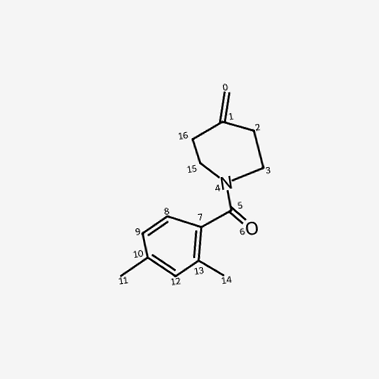 C=C1CCN(C(=O)c2ccc(C)cc2C)CC1